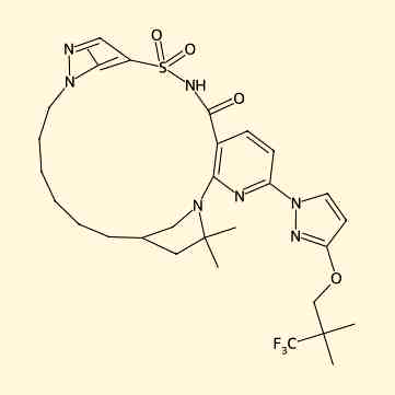 Cc1c2cnn1CCCCCCC1CN(c3nc(-n4ccc(OCC(C)(C)C(F)(F)F)n4)ccc3C(=O)NS2(=O)=O)C(C)(C)C1